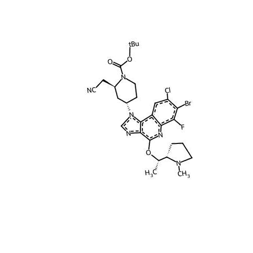 C[C@H](Oc1nc2c(F)c(Br)c(Cl)cc2c2c1ncn2[C@H]1CCN(C(=O)OC(C)(C)C)[C@H](CC#N)C1)[C@@H]1CCCN1C